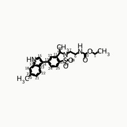 CCOC(=O)NCCN1C(C)c2cc(-c3c[nH]c4cc(C)ccc34)ccc2S1(=O)=O